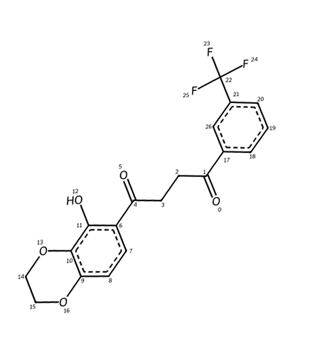 O=C(CCC(=O)c1ccc2c(c1O)OCCO2)c1cccc(C(F)(F)F)c1